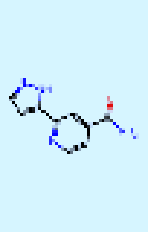 NC(=O)c1ccnc(-c2ccn[nH]2)c1